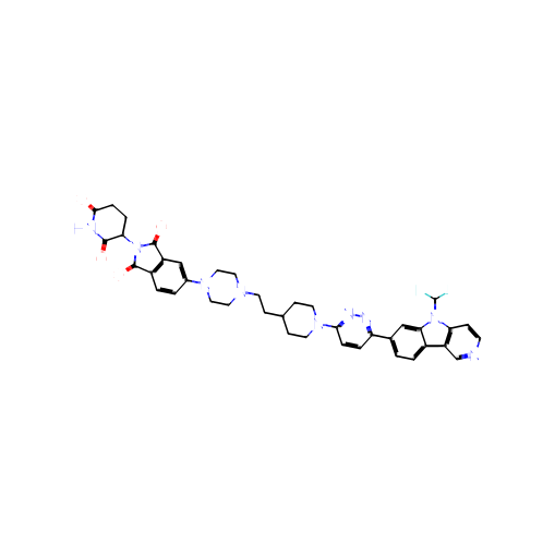 O=C1CCC(N2C(=O)c3ccc(N4CCN(CCC5CCN(c6ccc(-c7ccc8c9cnccc9n(C(F)F)c8c7)nn6)CC5)CC4)cc3C2=O)C(=O)N1